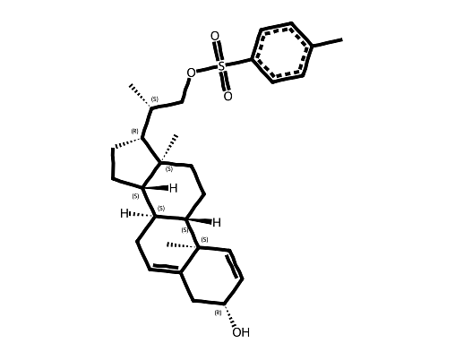 Cc1ccc(S(=O)(=O)OC[C@@H](C)[C@H]2CC[C@H]3[C@@H]4CC=C5C[C@@H](O)C=C[C@]5(C)[C@H]4CC[C@]23C)cc1